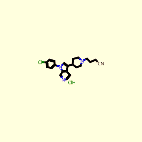 Cl.N#CCCCN1CCC(c2cn(-c3ccc(Cl)cc3)c3cnccc23)CC1